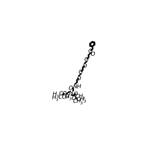 CC(C)(C)OC(=O)CN(CC(=O)NCCCOCCOCCOCCOCCC(=O)OCc1ccccc1)CC(=O)OC(C)(C)C